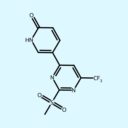 CS(=O)(=O)c1nc(-c2ccc(=O)[nH]c2)cc(C(F)(F)F)n1